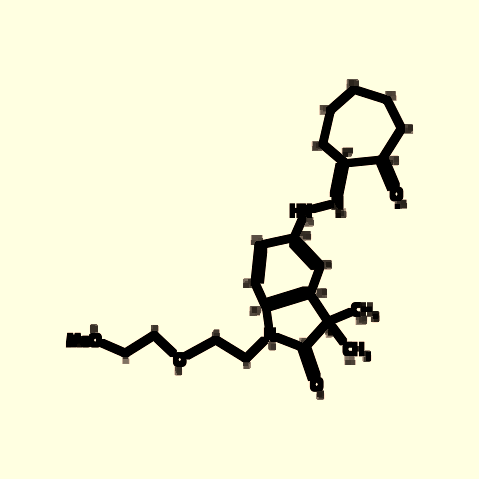 COCCOCCN1C(=O)C(C)(C)c2cc(N/N=C3\CCCCCC3=O)ccc21